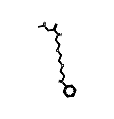 C=C(CNC)NCCOCCOCCPc1ccccc1